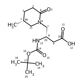 C[C@@H]1CCC(=O)N(C[C@H](CC(=O)O)NC(=O)OC(C)(C)C)C1